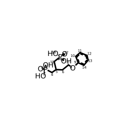 O=P(O)(O)CC(CCOc1ccccc1)CP(=O)(O)O